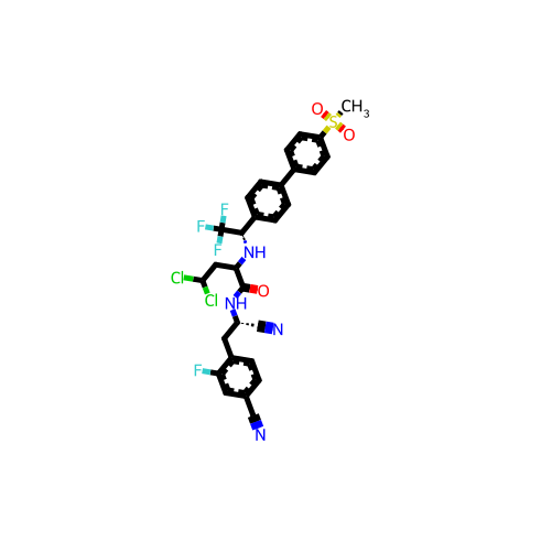 CS(=O)(=O)c1ccc(-c2ccc([C@H](NC(CC(Cl)Cl)C(=O)N[C@H](C#N)Cc3ccc(C#N)cc3F)C(F)(F)F)cc2)cc1